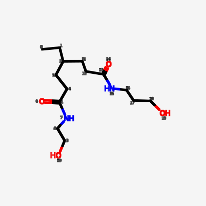 CCC(CCC(=O)NCCO)CCC(=O)NCCCO